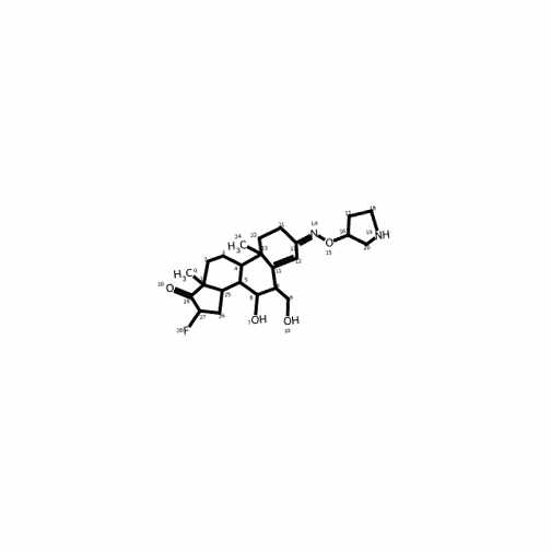 CC12CCC3C(C(O)C(CO)C4=CC(=NOC5CCNC5)CCC43C)C1CC(F)C2=O